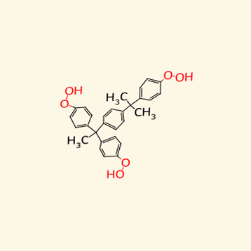 CC(C)(c1ccc(OO)cc1)c1ccc(C(C)(c2ccc(OO)cc2)c2ccc(OO)cc2)cc1